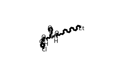 CC/C=C\C/C=C\C/C=C\C/C=C\C/C=C\C/C=C\CCC(=O)NCCN(CCNC(=O)C(C)(C)Oc1ccc(Cl)cc1)CCN1CCOCC1